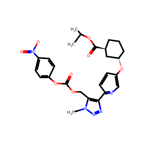 CC(C)OC(=O)[C@H]1CCC[C@H](Oc2ccc(-c3nnn(C)c3COC(=O)Oc3ccc([N+](=O)[O-])cc3)nc2)C1